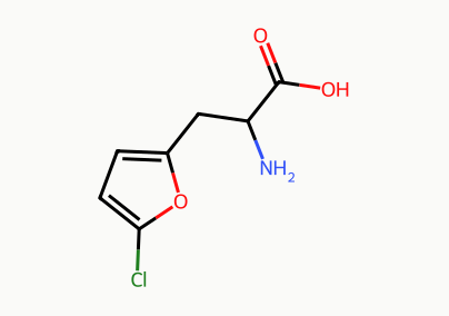 NC(Cc1ccc(Cl)o1)C(=O)O